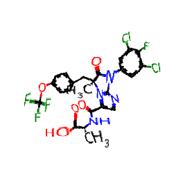 C[C@H](NC(=O)c1cnc2n1[C@](C)(Cc1ccc(OC(F)(F)F)cc1)C(=O)N2c1cc(Cl)c(F)c(Cl)c1)C(=O)O